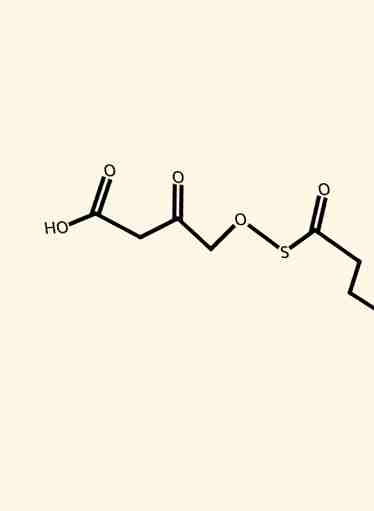 CCCC(=O)SOCC(=O)CC(=O)O